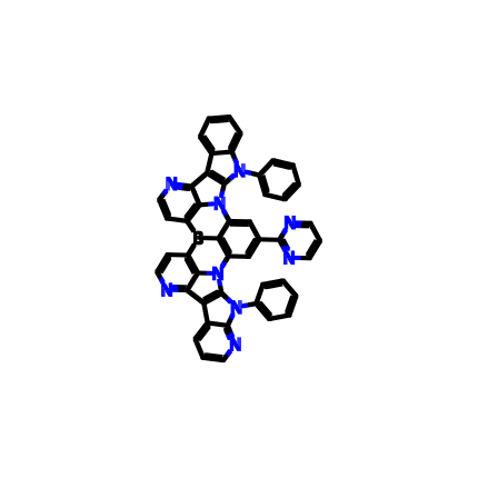 c1ccc(-n2c3ccccc3c3c4nccc5c4n(c32)-c2cc(-c3ncccn3)cc3c2B5c2ccnc4c5c6cccnc6n(-c6ccccc6)c5n-3c24)cc1